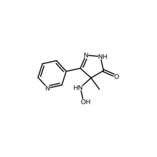 CC1(NO)C(=O)NN=C1c1cccnc1